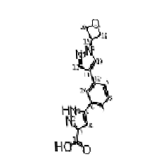 O=C(O)c1cc(-c2cccc(-c3cnn(C4COC4)c3)c2)[nH]n1